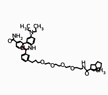 CCN(CC)c1ccc(NC(=O)c2cccc(CCCOCCOCCOCCOCCNC(=O)C34CC5CCC(C3)C5(C)C4)c2)c(-c2cc(C(N)=O)ccn2)c1